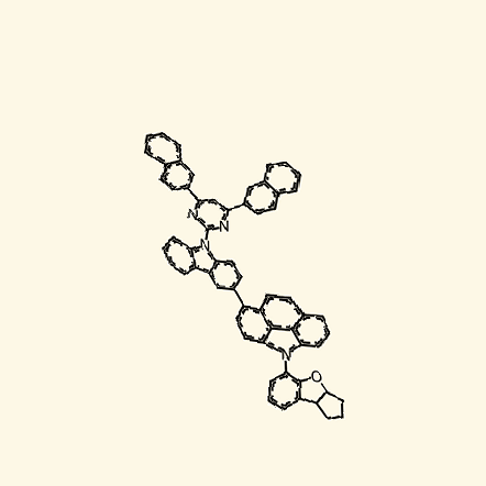 c1cc2c(c(-n3c4cccc5ccc6c(-c7ccc8c(c7)c7ccccc7n8-c7nc(-c8ccc9ccccc9c8)cc(-c8ccc9ccccc9c8)n7)ccc3c6c54)c1)OC1CCCC21